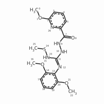 COc1cccc(C(=O)NN/C(=N/c2c(OC)cccc2OC)NSC)n1